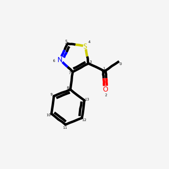 CC(=O)c1s[c]nc1-c1ccccc1